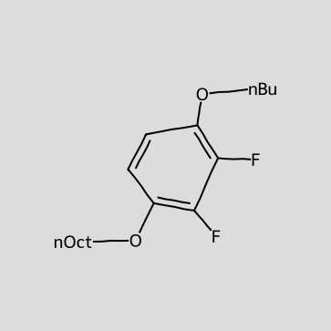 CCCCCCCCOc1ccc(OCCCC)c(F)c1F